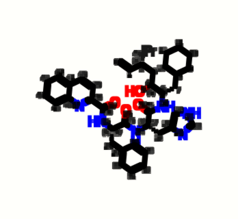 C=C[C@@H](C[C@H](O)[C@H](CC1CCCCC1)NC(=O)[C@H](Cc1c[nH]cn1)NC(=O)[C@H](Cc1ccccc1)NC(=O)c1ccc2ccccc2n1)C(C)C